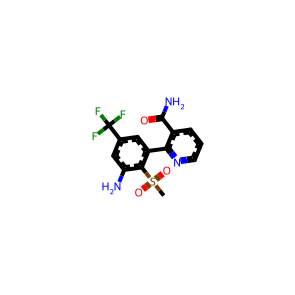 CS(=O)(=O)c1c(N)cc(C(F)(F)F)cc1-c1ncccc1C(N)=O